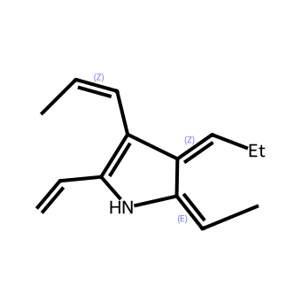 C=Cc1[nH]c(=C/C)/c(=C\CC)c1/C=C\C